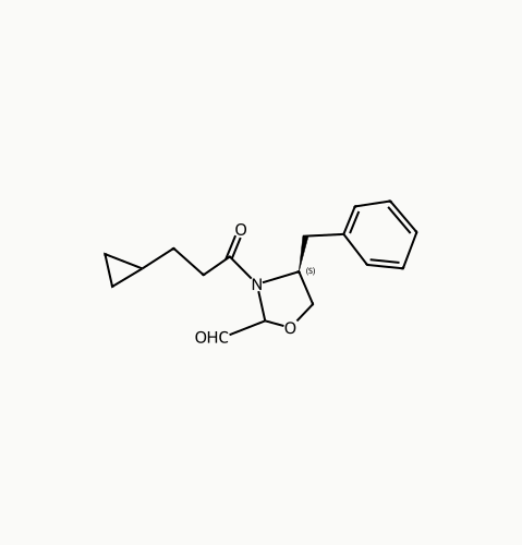 O=CC1OC[C@H](Cc2ccccc2)N1C(=O)CCC1CC1